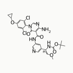 COC[C@H](NC(=O)OC(C)(C)C)c1cncc(NC(=O)c2c(N)ncn(-c3c(Cl)cc(OC4CC4)cc3Cl)c2=O)c1